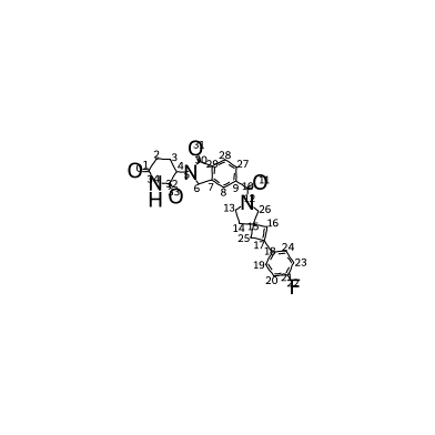 O=C1CCC(N2Cc3cc(C(=O)N4CCC5(C=C(c6ccc(F)cc6)C5)C4)ccc3C2=O)C(=O)N1